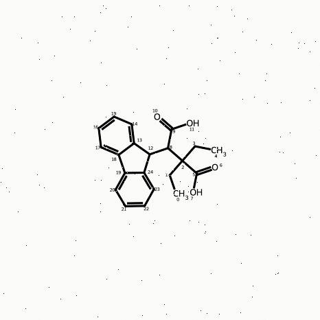 CCC(CC)(C(=O)O)C(C(=O)O)C1c2ccccc2-c2ccccc21